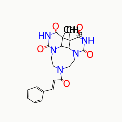 CC12C(=O)NC(=O)N3CCN(C(=O)/C=C/c4ccccc4)CCN4C(=O)NC(=O)C1(C)C4C32